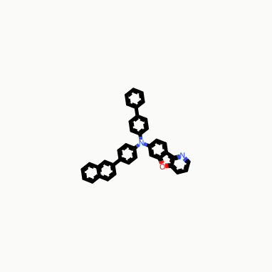 c1ccc(-c2ccc(N(c3ccc(-c4ccc5ccccc5c4)cc3)c3ccc4c(c3)oc3cccnc34)cc2)cc1